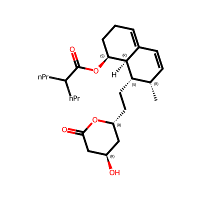 CCCC(CCC)C(=O)O[C@H]1CCC=C2C=C[C@H](C)[C@H](CC[C@@H]3C[C@@H](O)CC(=O)O3)[C@H]21